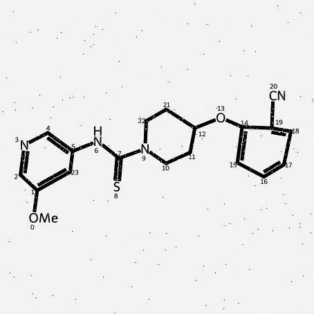 COc1cncc(NC(=S)N2CCC(Oc3ccccc3C#N)CC2)c1